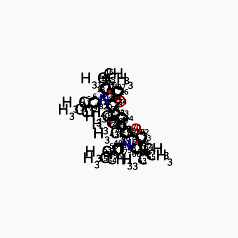 CC(C)(C)c1ccc(N(c2ccc(C(C)(C)C)cc2)c2cc3c(c4oc5ccccc5c24)-c2ccc4c(c2C3(C)C)C(C)(C)c2cc(N(c3ccc(C(C)(C)C)cc3)c3ccc(C(C)(C)C)cc3)c3c(oc5ccccc53)c2-4)cc1